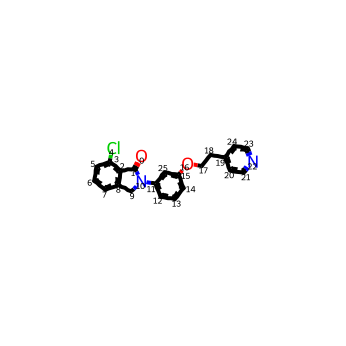 O=C1c2c(Cl)cccc2CN1c1cccc(OCCc2ccncc2)c1